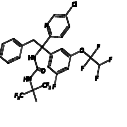 CC(NC(=O)NC(Cc1ccccc1)(c1cc(F)cc(OC(F)(F)C(F)F)c1)c1ccc(Cl)cn1)(C(F)(F)F)C(F)(F)F